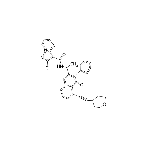 Cc1nn2cccnc2c1C(=O)NC(C)c1nc2cccc(C#CC3CCOCC3)c2c(=O)n1-c1ccccc1